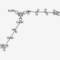 CC(=O)NC1CCN(c2nc(N3CCC(NC(=O)CCCCCNC(=O)CCCCCNC(=O)CCCC[C@@H]4SCC5NC(=O)NC54)CC3)nc(N3CCC(NC(=O)CCCCCNC(=O)CCCCCNC(=O)CCCC[C@@H]4SCC5NC(=O)NC54)CC3)n2)CC1